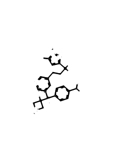 Cc1cc(C(C)(O)CCc2cncc([C@@](O)(c3ccc(C(C)C)cc3)C3(C)CN(C)C3)c2)nn1C